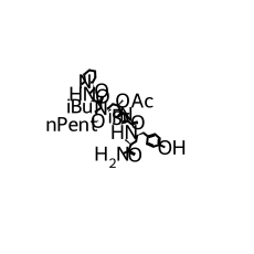 CCCCCOCN(C(=O)[C@@H](NC(=O)[C@H]1CCCCN1C)[C@@H](C)CC)[C@H](C[C@@H](OC(C)=O)c1nc(C(=O)N[C@@H](Cc2ccc(O)cc2)C[C@H](C)C(N)=O)cs1)C(C)C